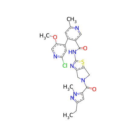 CCc1cc(C(=O)N2Cc3nc(NC(=O)c4cnc(C)cc4-c4cc(Cl)ncc4OC)sc3C2)n(C)n1